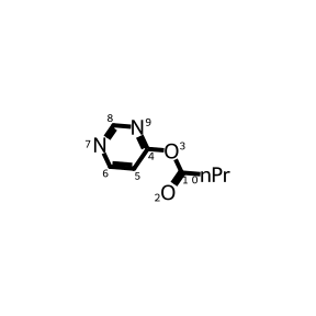 CCCC(=O)Oc1ccncn1